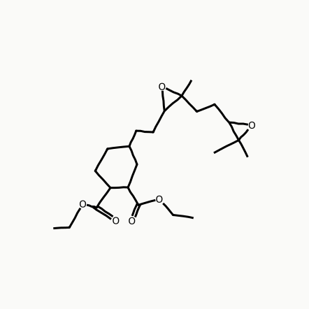 CCOC(=O)C1CCC(CCC2OC2(C)CCC2OC2(C)C)CC1C(=O)OCC